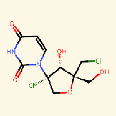 O=c1ccn([C@]2(Cl)CO[C@@](CO)(CCl)[C@H]2O)c(=O)[nH]1